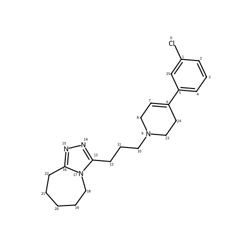 Clc1cccc(C2=CCN(CCCc3nnc4n3CCCCC4)CC2)c1